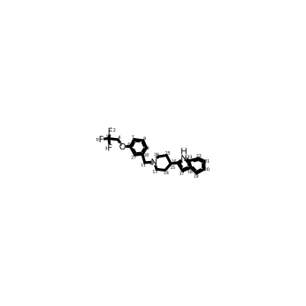 FC(F)(F)COc1cccc(CN2CCC(c3cc4ccccc4[nH]3)CC2)c1